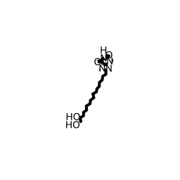 Cn1c(CCCCCCCCCCCCCCCC(O)CO)nc2c1c(=O)[nH]c(=O)n2C